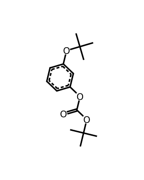 CC(C)(C)OC(=O)Oc1cccc(OC(C)(C)C)c1